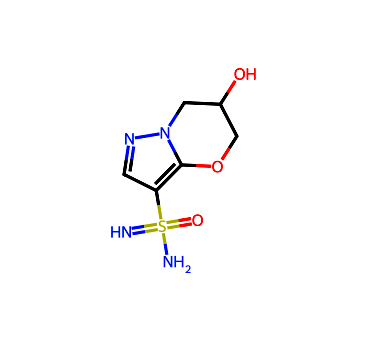 N=S(N)(=O)c1cnn2c1OCC(O)C2